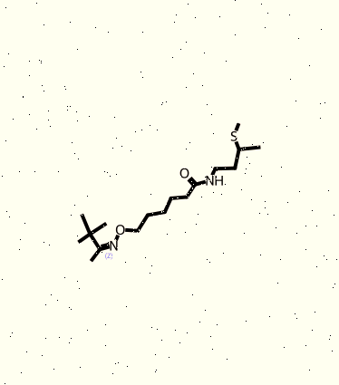 CSC(C)CCNC(=O)CCCCCO/N=C(/C)C(C)(C)C